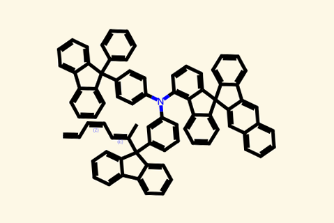 C=C/C=C\C=C(/C)C1(c2cccc(N(c3ccc(C4(c5ccccc5)c5ccccc5-c5ccccc54)cc3)c3cccc4c3-c3ccccc3C43c4ccccc4-c4cc5ccccc5cc43)c2)c2ccccc2-c2ccccc21